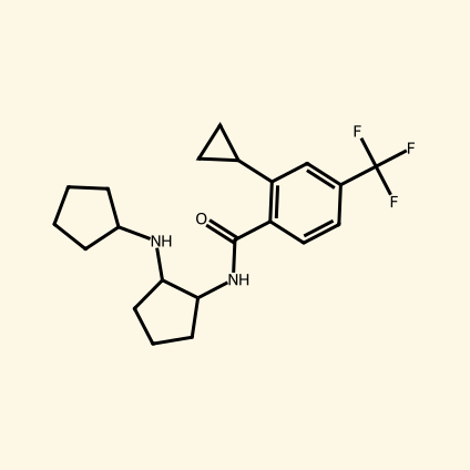 O=C(NC1CCCC1NC1CCCC1)c1ccc(C(F)(F)F)cc1C1CC1